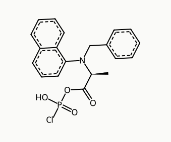 C[C@@H](C(=O)OP(=O)(O)Cl)N(Cc1ccccc1)c1cccc2ccccc12